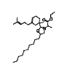 CCCCCCCCCCC1CN(C(C)C(=O)OCC)C(C2(C)CCC=C(CCC=C(C)C)C2)O1